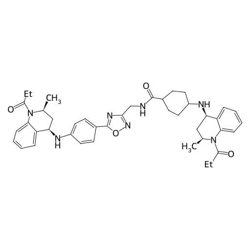 CCC(=O)N1c2ccccc2[C@H](Nc2ccc(-c3nc(CNC(=O)C4CCC(N[C@@H]5C[C@H](C)N(C(=O)CC)c6ccccc65)CC4)no3)cc2)C[C@@H]1C